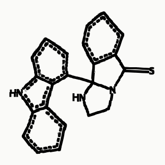 S=C1c2ccccc2C2(c3cccc4[nH]c5ccccc5c34)NCCN12